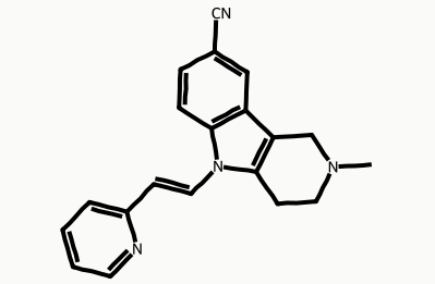 CN1CCc2c(c3cc(C#N)ccc3n2C=Cc2ccccn2)C1